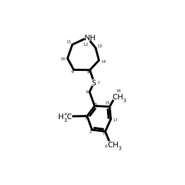 Cc1cc(C)c(CSC2CCCNCC2)c(C)c1